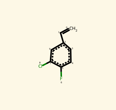 C=Cc1ccc(F)c(Cl)c1